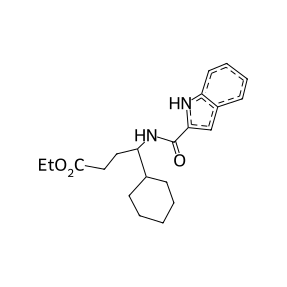 CCOC(=O)CCC(NC(=O)c1cc2ccccc2[nH]1)C1CCCCC1